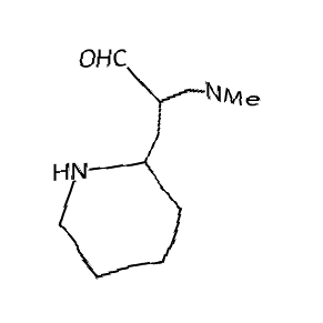 CNC(C=O)C1CCCCN1